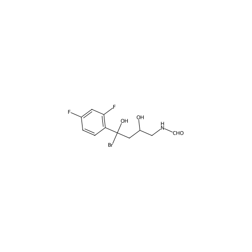 O=CNCC(O)CC(O)(Br)c1ccc(F)cc1F